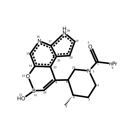 CCCC(=O)N1CC[C@H](C)C(C2=CB(O)Oc3cnc4[nH]ccc4c32)C1